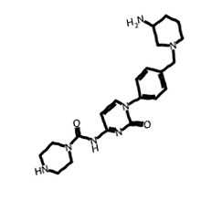 NC1CCCN(Cc2ccc(-n3ccc(NC(=O)N4CCNCC4)nc3=O)cc2)C1